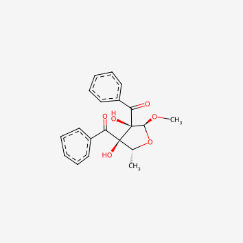 CO[C@H]1O[C@H](C)[C@](O)(C(=O)c2ccccc2)[C@]1(O)C(=O)c1ccccc1